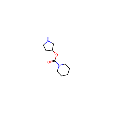 O=C(O[C@H]1CCNC1)N1CCCCC1